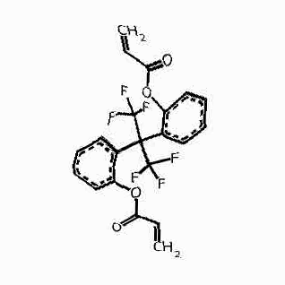 C=CC(=O)Oc1ccccc1C(c1ccccc1OC(=O)C=C)(C(F)(F)F)C(F)(F)F